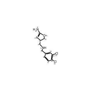 NC1=N[C@H](CNCc2ccc(Cl)c(Cl)c2)CO1